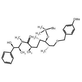 COc1ccc(COC[C@H](C)[C@H](O[Si](C)(C)C(C)(C)C)[C@@H](C)C[C@@H](C)C(=O)N(C)[C@@H](C)[C@H](O)c2ccccc2)cc1